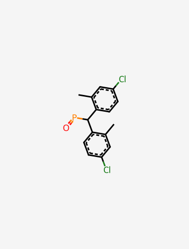 Cc1cc(Cl)ccc1C(P=O)c1ccc(Cl)cc1C